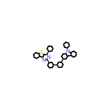 c1ccc(-c2nc(-c3cccc(-c4cccc(-c5ccc6c(c5)c5ccccc5n6-c5ccccc5)c4)c3)nc3c2sc2ccccc23)cc1